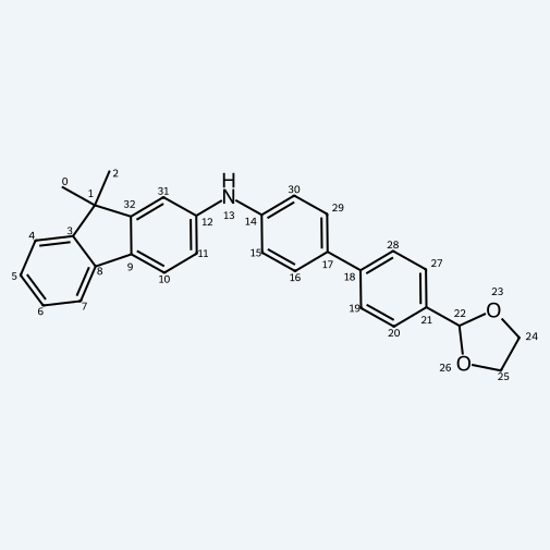 CC1(C)c2ccccc2-c2ccc(Nc3ccc(-c4ccc(C5OCCO5)cc4)cc3)cc21